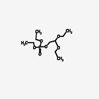 CCOC(COP(=O)(OCC)OCC)OCC